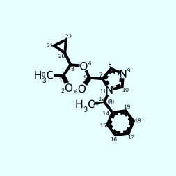 CC(=O)C(OC(=O)c1cncn1[C@H](C)c1ccccc1)C1CC1